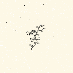 CCN(C(=O)C(C)SCC(F)F)c1cn(-c2cccnc2)nc1Cl